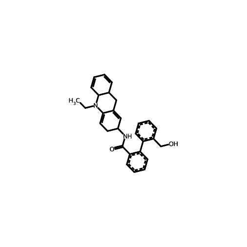 CCN1C2=CCC(NC(=O)c3ccccc3-c3ccccc3CO)C=C2CC2C=CC=CC21